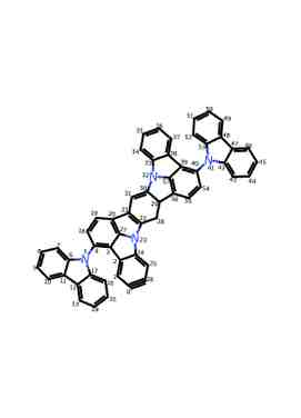 c1cc2c3c(-n4c5ccccc5c5ccccc54)ccc4c5c(n(c2cc#1)c43)CC1C(=C5)n2c3ccccc3c3c(-n4c5ccccc5c5ccccc54)ccc1c32